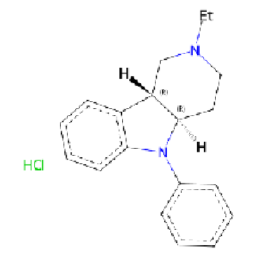 CCN1CC[C@@H]2[C@@H](C1)c1ccccc1N2c1ccccc1.Cl